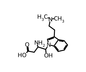 CN(C)CCc1cn(C(O)C(N)CC(=O)O)c2ccccc12